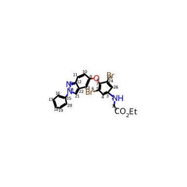 CCOC(=O)CNc1cc(Br)c(Oc2ccc3nn(-c4ccccc4)cc3c2)c(Br)c1